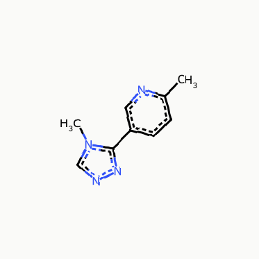 Cc1ccc(-c2nncn2C)cn1